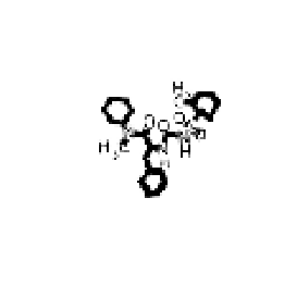 Cc1ccccc1S(=O)(=O)NC(=O)NC(Cc1ccccc1)C(=O)N(C)C1CCCCC1